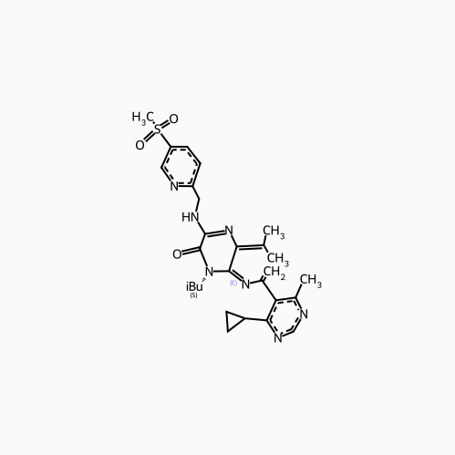 C=C(/N=C1\C(=C(C)C)N=C(NCc2ccc(S(C)(=O)=O)cn2)C(=O)N1[C@@H](C)CC)c1c(C)ncnc1C1CC1